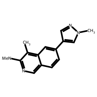 CNc1ncc2ccc(-c3cnn(C)c3)cc2c1C